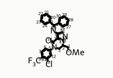 COCC1CN(c2ccc(C(F)(F)F)c(Cl)c2)C(=O)c2c(N=C(c3ccccc3)c3ccccc3)cnn21